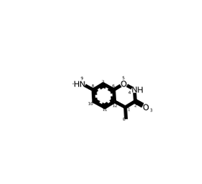 CC1C(=O)NOc2cc([NH])ccc21